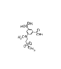 CN(CCS(C)(=O)=O)c1cc(B(O)O)cc(C(=O)O)c1